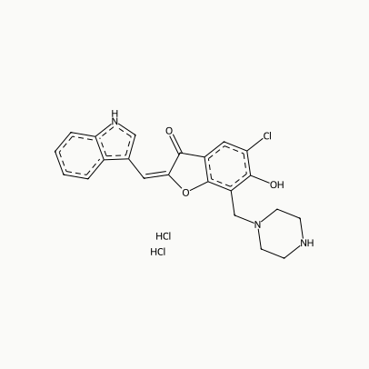 Cl.Cl.O=C1C(=Cc2c[nH]c3ccccc23)Oc2c1cc(Cl)c(O)c2CN1CCNCC1